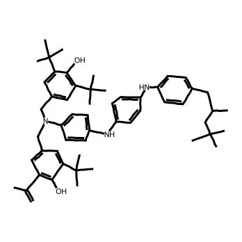 C=C(C)c1cc(CN(Cc2cc(C(C)(C)C)c(O)c(C(C)(C)C)c2)c2ccc(Nc3ccc(Nc4ccc(CC(C)CC(C)(C)C)cc4)cc3)cc2)cc(C(C)(C)C)c1O